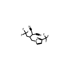 N#CC(C#N)C(Cn1ccc(C(F)(F)F)n1)CC(F)(F)F